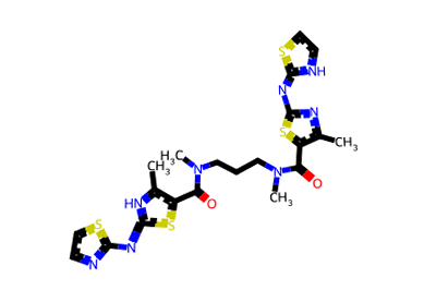 Cc1nc(/N=c2\[nH]ccs2)sc1C(=O)N(C)CCCN(C)C(=O)c1s/c(=N/c2nccs2)[nH]c1C